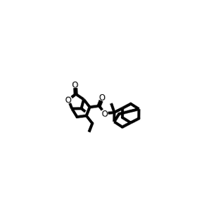 CCC1CC2OC(=O)C(C2C)C1C(=O)OC1(C)C2CC3CC(C2)CC1C3